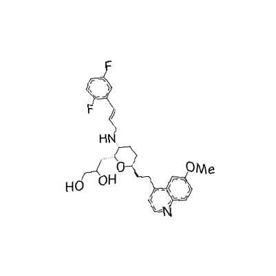 COc1ccc2nccc(CC[C@@H]3CC[C@@H](NCC=Cc4cc(F)ccc4F)[C@@H](CC(O)CO)O3)c2c1